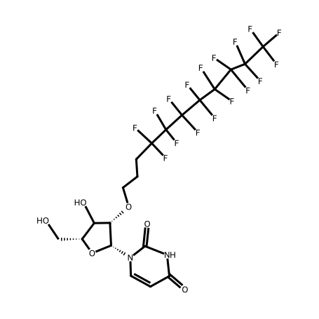 O=c1ccn([C@@H]2O[C@H](CO)C(O)[C@@H]2OCCCC(F)(F)C(F)(F)C(F)(F)C(F)(F)C(F)(F)C(F)(F)C(F)(F)C(F)(F)F)c(=O)[nH]1